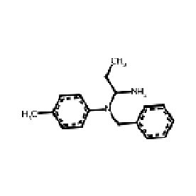 CCC(N)N(Cc1ccccc1)c1ccc(C)cc1